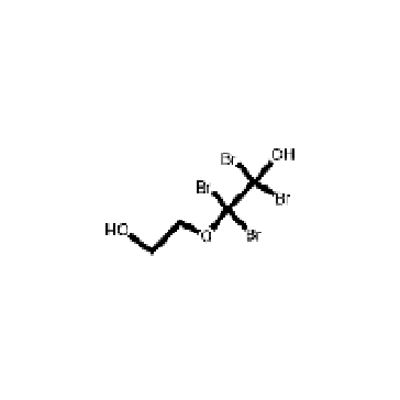 OCCOC(Br)(Br)C(O)(Br)Br